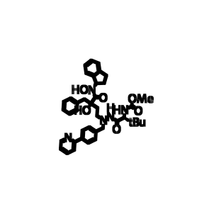 COC(=O)N[C@H](C(=O)NN(CCC(O)(Cc1ccccc1)C(=O)N(O)C1CCc2ccccc21)Cc1ccc(-c2ccccn2)cc1)C(C)(C)C